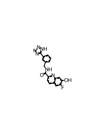 O=C(NCc1cccc(-c2nnn[nH]2)c1)c1ccc2cc(F)c(O)cc2n1